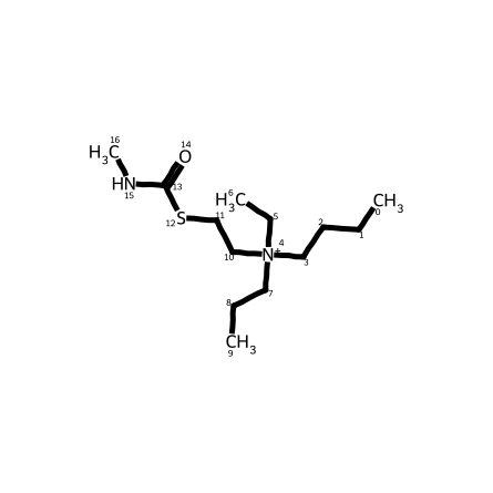 CCCC[N+](CC)(CCC)CCSC(=O)NC